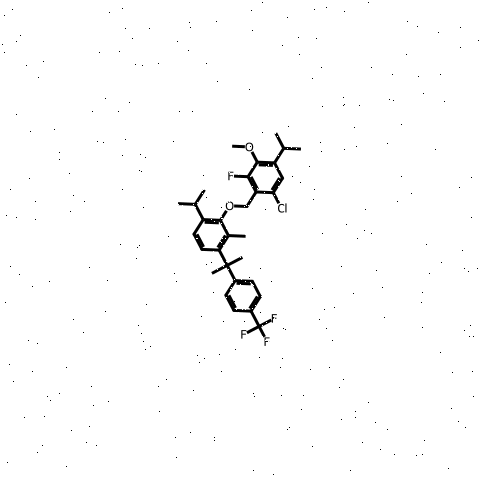 COc1c(C(C)C)cc(Cl)c(COc2c(C(C)C)ccc(C(C)(C)c3ccc(C(F)(F)F)cc3)c2C)c1F